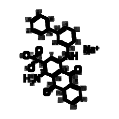 Nc1c(S(=O)(=O)[O-])cc(Nc2cccc(-c3ccccc3)c2)c2c1C(=O)c1ccccc1C2=O.[Na+]